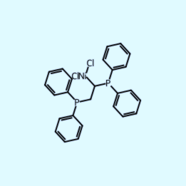 [Cl][Ni]([Cl])[CH](CP(c1ccccc1)c1ccccc1)P(c1ccccc1)c1ccccc1